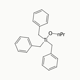 CCC[O][Ti]([CH2]c1ccccc1)([CH2]c1ccccc1)[CH2]c1ccccc1